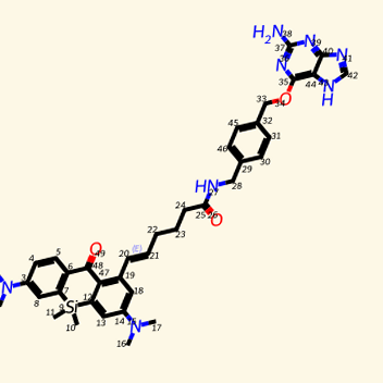 CN(C)c1ccc2c(c1)[Si](C)(C)c1cc(N(C)C)cc(/C=C/CCCC(=O)NCc3ccc(COc4nc(N)nc5nc[nH]c45)cc3)c1C2=O